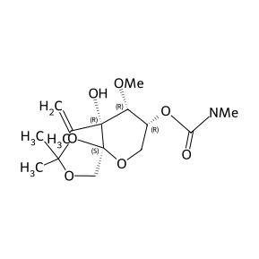 C=C(C)[C@@]1(O)[C@H](OC)[C@H](OC(=O)NC)CO[C@]12COC(C)(C)O2